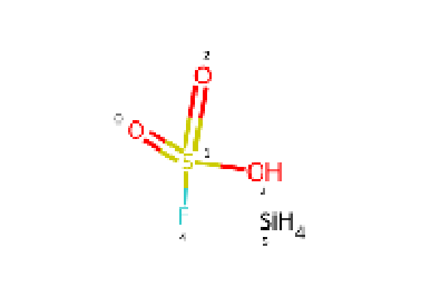 O=S(=O)(O)F.[SiH4]